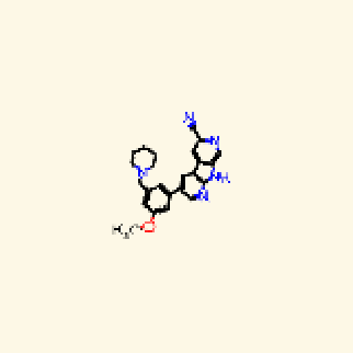 COc1cc(CN2CCCCC2)cc(-c2cnc3[nH]c4cnc(C#N)cc4c3c2)c1